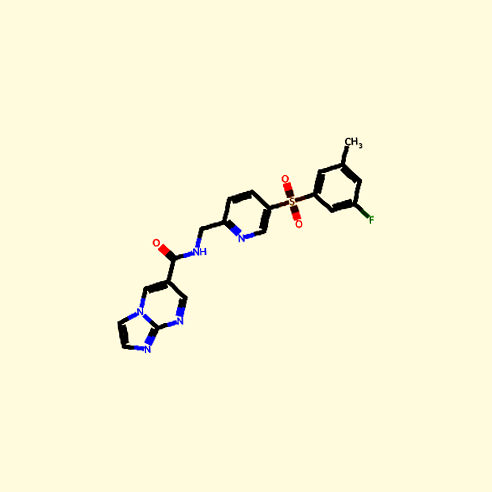 Cc1cc(F)cc(S(=O)(=O)c2ccc(CNC(=O)c3cnc4nccn4c3)nc2)c1